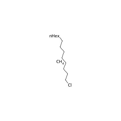 C.CCCCCCCCCCCCCCCl